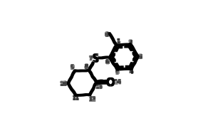 Cc1ccccc1SC1CCCCC1=O